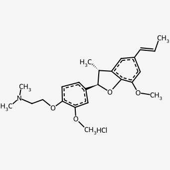 CC=Cc1cc(OC)c2c(c1)[C@@H](C)[C@H](c1ccc(OCCN(C)C)c(OC)c1)O2.Cl